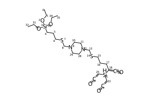 CCO[Si](CCCSCN1CCN(CSCCCC(=C=O)[SiH](C=C=O)C=C=O)CC1)(OCC)OCC